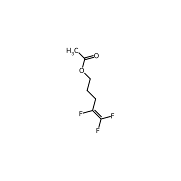 CC(=O)OCCCC(F)=C(F)F